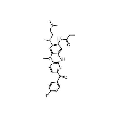 C=CC(=O)Nc1cc(Nc2nccc(C(=O)c3ccc(F)cc3)n2)c(OC)cc1N(C)CCN(C)C